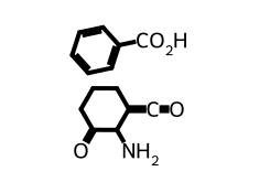 NC1C(=O)CCCC1=C=O.O=C(O)c1ccccc1